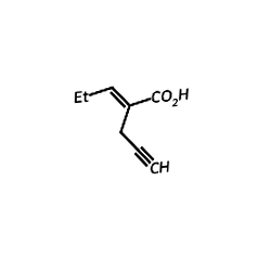 C#CCC(=CCC)C(=O)O